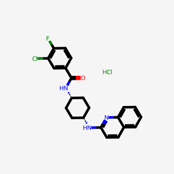 Cl.O=C(N[C@H]1CC[C@@H](Nc2ccc3ccccc3n2)CC1)c1ccc(F)c(Cl)c1